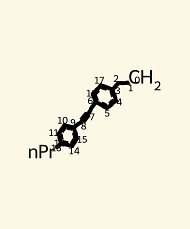 C=CCc1ccc(C#Cc2ccc(CCC)cc2)cc1